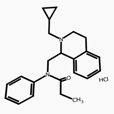 CCC(=O)N(CC1c2ccccc2CCN1CC1CC1)c1ccccc1.Cl